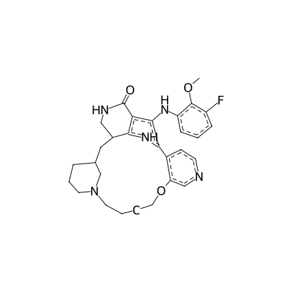 COc1c(F)cccc1Nc1c2[nH]c3c1C(=O)NCC3CC1CCCN(CCCCOc3cnccc3-2)C1